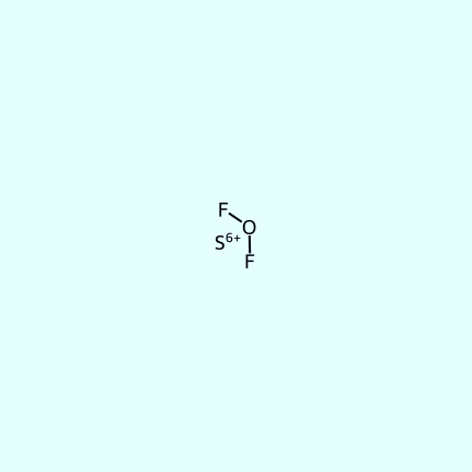 FOF.[S+6]